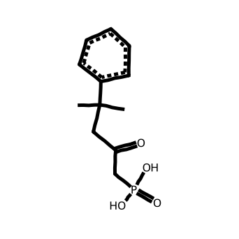 CC(C)(CC(=O)CP(=O)(O)O)c1ccccc1